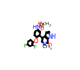 Cn1cc(-c2cc(NS(C)(=O)=O)ccc2Oc2ccc(F)cc2F)c2cc[nH]c2c1=O